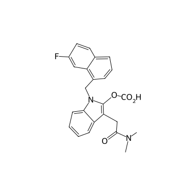 CN(C)C(=O)Cc1c(OC(=O)O)n(Cc2cccc3ccc(F)cc23)c2ccccc12